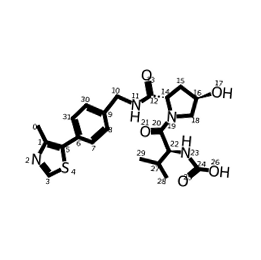 Cc1ncsc1-c1ccc(CNC(=O)[C@@H]2C[C@@H](O)CN2C(=O)[C@@H](NC(=O)O)C(C)C)cc1